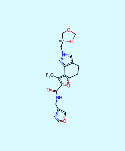 O=C(NCc1cocn1)c1oc2c(c1C(F)(F)F)-c1nn(C[C@H]3COCO3)cc1CC2